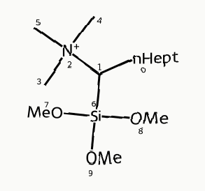 CCCCCCCC([N+](C)(C)C)[Si](OC)(OC)OC